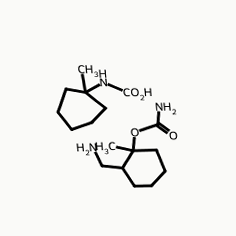 CC1(NC(=O)O)CCCCC1.CC1(OC(N)=O)CCCCC1CN